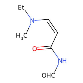 CCN(C)/C=C\C(=O)NC=O